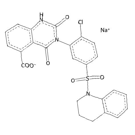 O=C([O-])c1cccc2[nH]c(=O)n(-c3cc(S(=O)(=O)N4CCCc5ccccc54)ccc3Cl)c(=O)c12.[Na+]